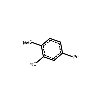 CSc1ccc([C](C)C)cc1C#N